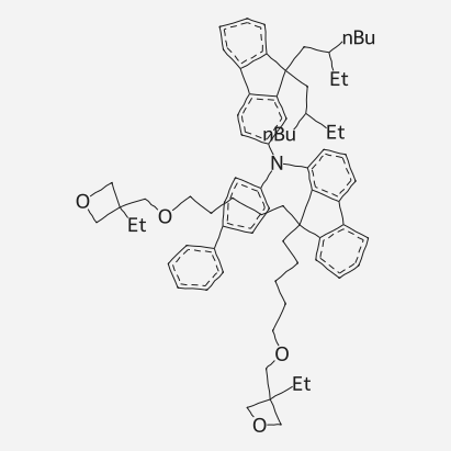 CCCCC(CC)CC1(CC(CC)CCCC)c2ccccc2-c2ccc(N(c3ccc(-c4ccccc4)cc3)c3cccc4c3C(CCCCCOCC3(CC)COC3)(CCCCCOCC3(CC)COC3)c3ccccc3-4)cc21